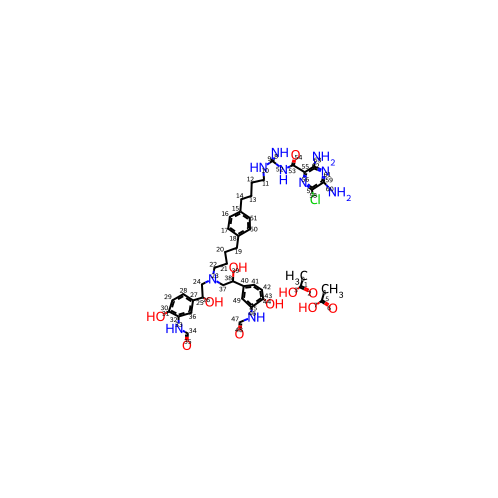 CC(=O)O.CC(=O)O.N=C(NCCCCc1ccc(CCCCN(CC(O)c2ccc(O)c(NC=O)c2)CC(O)c2ccc(O)c(NC=O)c2)cc1)NC(=O)c1nc(Cl)c(N)nc1N